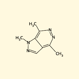 Cc1nnc(C)c2c1cnn2C